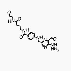 NNc1ncc(CNc2ccc(C(=O)NCCCC(=O)NCC=O)cc2)nc1C=O